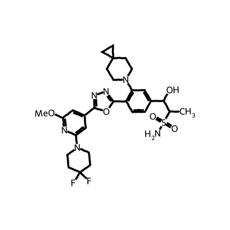 COc1cc(-c2nnc(-c3ccc(C(O)C(C)S(N)(=O)=O)cc3N3CCC4(CC3)CC4)o2)cc(N2CCC(F)(F)CC2)n1